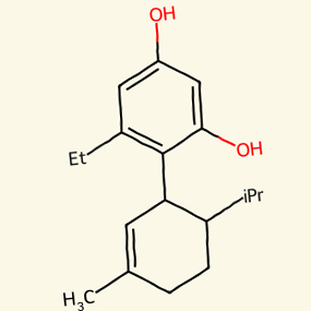 CCc1cc(O)cc(O)c1C1C=C(C)CCC1C(C)C